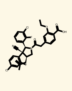 C=C(C)C[C@@H]1CN(C(=O)Cc2ccc(C(=O)O)c(OCC)c2)[C@H](c2cccc(Cl)c2F)[C@@]1(C#N)c1ccc(Cl)cc1F